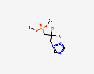 CCOP(=O)(CC(C)(O)Cn1cncn1)OCC